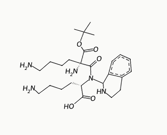 CC(C)(C)OC(=O)[C@](N)(CCCCN)C(=O)N(C1NCCc2ccccc21)[C@@H](CCCCN)C(=O)O